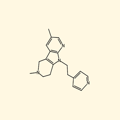 Cc1cnc2c(c1)c1c(n2CCc2ccncc2)CCN(C)C1